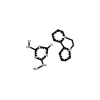 CCNc1nc(Cl)nc(NC(C)(C)C)n1.c1cc[n+]2c(c1)-c1cccc[n+]1CC2